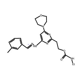 CCNC(=O)OCCc1nc(N/N=C/c2cccc(C)c2)cc(N2CCOCC2)n1